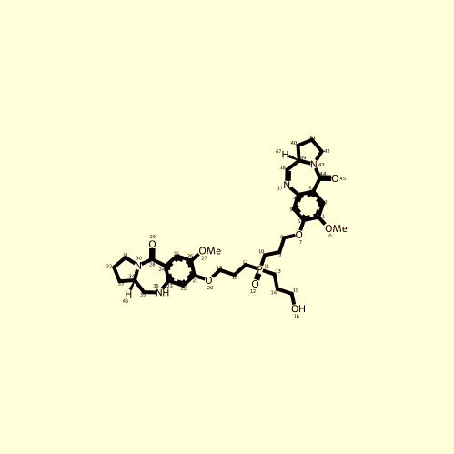 COc1cc2c(cc1OCCCP(=O)(CCCO)CCCOc1cc3c(cc1OC)C(=O)N1CCC[C@H]1CN3)N=C[C@@H]1CCCN1C2=O